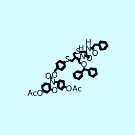 CC(=O)Oc1ccc2c(c1)Oc1cc(OC(C)=O)ccc1N2C(=O)OCc1ccc(SCC2=C(COC(c3ccccc3)c3ccccc3)N3C(=O)[C@@H](NC(=O)Cc4ccccc4)[C@H]3SC2)cc1